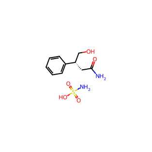 NC(=O)C[C@@H](CO)c1ccccc1.NS(=O)(=O)O